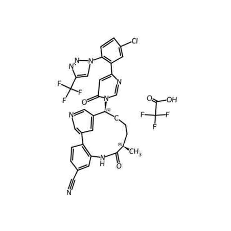 C[C@@H]1CCC[C@H](n2cnc(-c3cc(Cl)ccc3-n3cc(C(F)(F)F)nn3)cc2=O)c2cncc(c2)-c2ccc(C#N)cc2NC1=O.O=C(O)C(F)(F)F